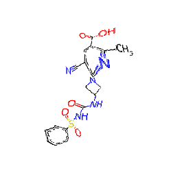 Cc1nc(N2CC(NC(=O)NS(=O)(=O)c3ccccc3)C2)c(C#N)cc1C(=O)O